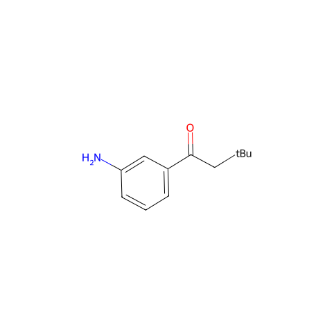 CC(C)(C)CC(=O)c1cccc(N)c1